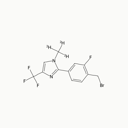 [2H]C([2H])([2H])n1cc(C(F)(F)F)nc1-c1ccc(CBr)c(F)c1